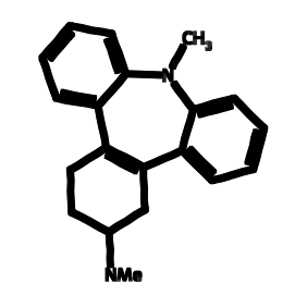 CNC1CCC2=C(C1)c1ccccc1N(C)c1ccccc12